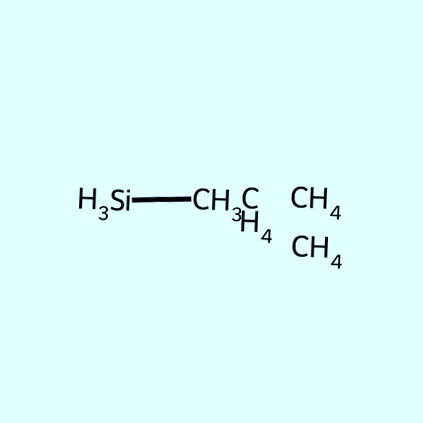 C.C.C.C[SiH3]